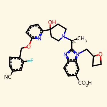 C[C@@H](c1nc2ccc(C(=O)O)cc2n1CC1CCO1)N1CCC(O)(c2cccc(OCc3ccc(C#N)cc3F)n2)CC1